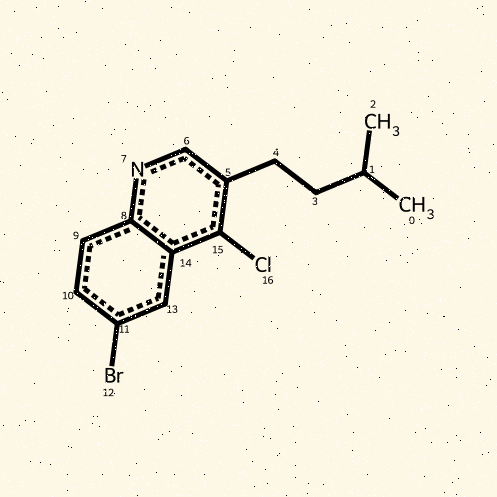 CC(C)CCc1cnc2ccc(Br)cc2c1Cl